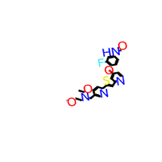 COCCN(Cc1ccc(-c2cc3nccc(Oc4ccc(NC=O)cc4F)c3s2)nc1)C(C)=O